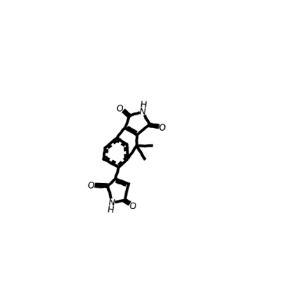 CC1(C)C2=C(C(=O)NC2=O)c2ccc(C3=CC(=O)NC3=O)c1c2